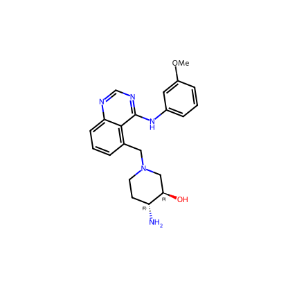 COc1cccc(Nc2ncnc3cccc(CN4CC[C@@H](N)[C@H](O)C4)c23)c1